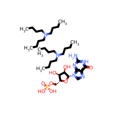 CCCCN(CCCC)CCCC.CCCCN(CCCC)CCCC.Nc1nc2c(ncn2[C@@H]2O[C@H](COP(=O)(O)O)[C@@H](O)[C@H]2O)c(=O)[nH]1